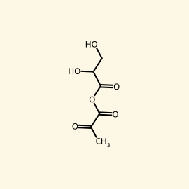 CC(=O)C(=O)OC(=O)C(O)CO